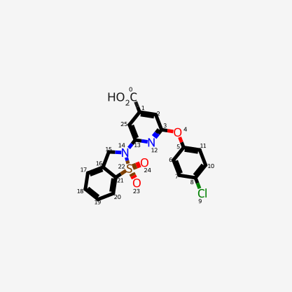 O=C(O)c1cc(Oc2ccc(Cl)cc2)nc(N2Cc3ccccc3S2(=O)=O)c1